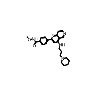 CONC(=O)c1ccc(-c2cc(NCCCN3CCCCC3)c3cnccc3n2)cc1